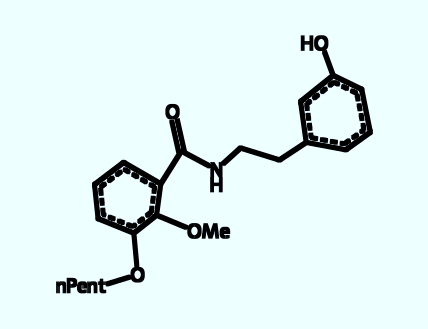 CCCCCOc1cccc(C(=O)NCCc2cccc(O)c2)c1OC